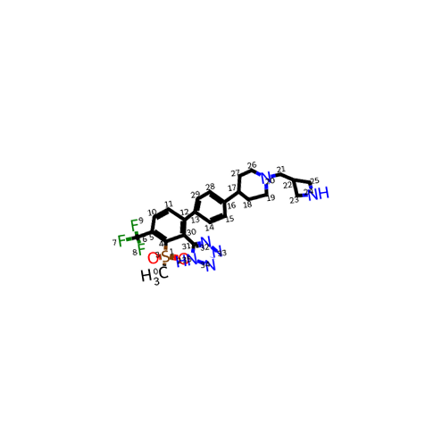 CS(=O)(=O)c1c(C(F)(F)F)ccc(-c2ccc(C3CCN(CC4CNC4)CC3)cc2)c1-c1nnn[nH]1